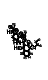 CCC(C)CCC1(C)C(=O)C(C2=NP(=O)(OC)c3cc(NS(C)(=O)=O)ccc3N2)=C(O)c2ccccc21